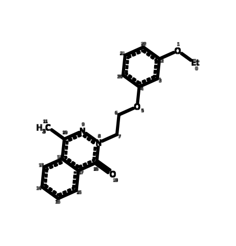 CCOc1[c]c(OCCn2nc(C)c3ccccc3c2=O)ccc1